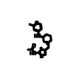 CC(=O)Nc1ncc(CN2CCCC(Nc3ccnc(C)c3)C2)s1